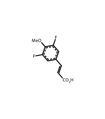 COc1c(F)cc(C=CC(=O)O)cc1F